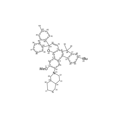 COc1cc2c3c(c4c(c2cc1N1CCC2CCCCC2C1)-c1ccc(C(C)(C)C)cc1C4(C)C)C=CC(c1ccccc1)(c1ccc(C)cc1)O3